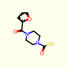 O=C(S)N1CCN(C(=O)c2ccco2)CC1